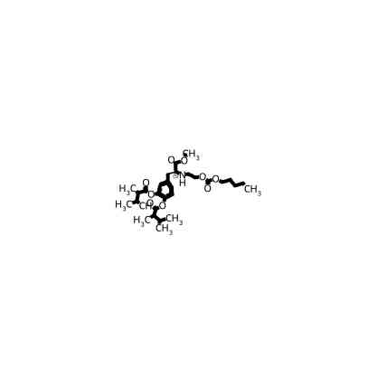 CCCCCOC(=O)OCCN[C@@H](Cc1ccc(OC(=O)C(C)C(C)C)c(OC(=O)C(C)C(C)C)c1)C(=O)OC